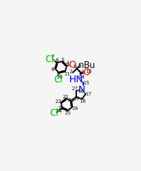 CCCCC(C)(Oc1cc(Cl)cc(Cl)c1)C(=O)NCN1CCC(c2ccc(Cl)cc2)C1